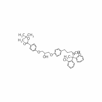 CN(CCCc1ccc(OCC(O)COc2ccc(C(=O)OC(C)(C)C)cc2)cc1)C(C)(c1ccccc1Cl)c1ccccc1Cl